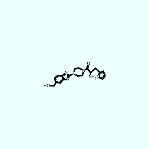 NC(Cc1cccs1)C(=O)N1CCN(c2nc3ccc(CO)cc3s2)CC1